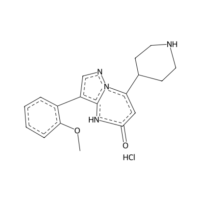 COc1ccccc1-c1cnn2c(C3CCNCC3)cc(=O)[nH]c12.Cl